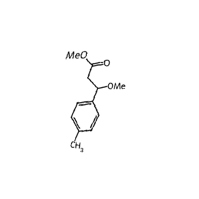 COC(=O)CC(OC)c1ccc(C)cc1